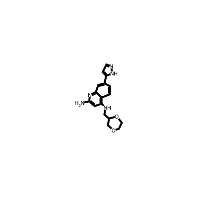 Nc1cc(NCC2COCCO2)c2ccc(-c3ccn[nH]3)cc2n1